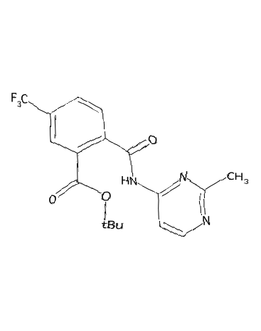 Cc1nccc(NC(=O)c2ccc(C(F)(F)F)cc2C(=O)OC(C)(C)C)n1